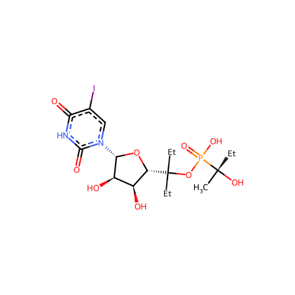 CCC(CC)(OP(=O)(O)[C@@](C)(O)CC)[C@H]1O[C@@H](n2cc(I)c(=O)[nH]c2=O)[C@H](O)[C@@H]1O